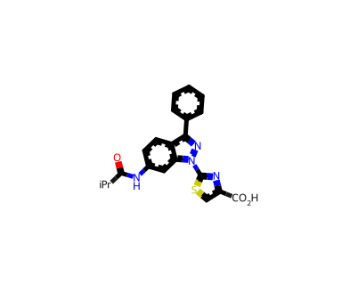 CC(C)C(=O)Nc1ccc2c(-c3ccccc3)nn(-c3nc(C(=O)O)cs3)c2c1